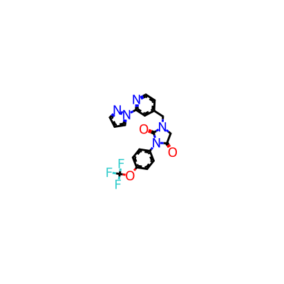 O=C1CN(Cc2ccnc(-n3cccn3)c2)C(=O)N1c1ccc(OC(F)(F)F)cc1